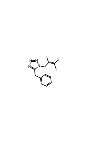 IC(I)=C(I)Cn1nnnc1Cc1ccccc1